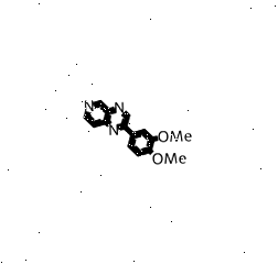 COc1ccc(-c2cnc3cnccc3n2)cc1OC